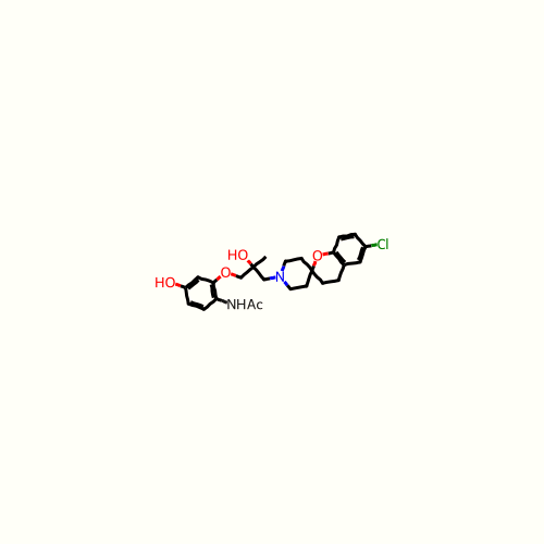 CC(=O)Nc1ccc(O)cc1OCC(C)(O)CN1CCC2(CCc3cc(Cl)ccc3O2)CC1